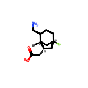 NCC1CC[C@]2(F)C[C@H](CC(=O)O)[C@H]1C2